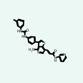 Cc1cccc(NC(=O)Nc2ccc(-c3csc4c(C=CC(=O)Nc5cccnc5)cnc(N)c34)cc2)c1